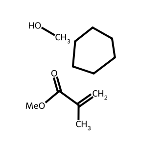 C1CCCCC1.C=C(C)C(=O)OC.CO